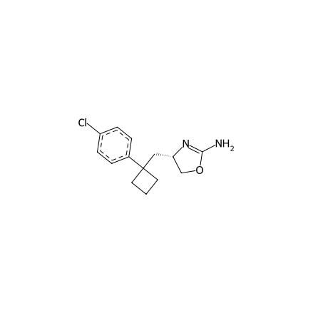 NC1=N[C@@H](CC2(c3ccc(Cl)cc3)CCC2)CO1